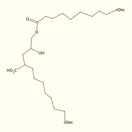 CCCCCCCCCCCCCCCCCCC(=O)OCC(O)CC(CCCCCCCCCCCCCCCCC)C(=O)O